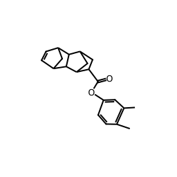 Cc1ccc(OC(=O)C2CC3CC2C2C4C=CC(C4)C32)cc1C